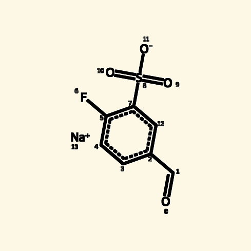 O=Cc1ccc(F)c(S(=O)(=O)[O-])c1.[Na+]